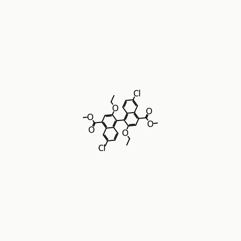 CCOc1cc(C(=O)OC)c2cc(Cl)ccc2c1-c1c(OCC)cc(C(=O)OC)c2cc(Cl)ccc12